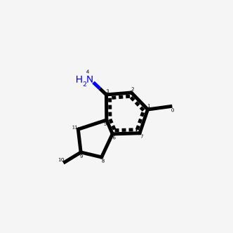 Cc1cc(N)c2c(c1)CC(C)C2